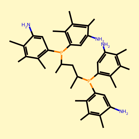 Cc1c(N)cc(P(c2cc(N)c(C)c(C)c2C)C(C)CC(C)P(c2cc(N)c(C)c(C)c2C)c2cc(N)c(C)c(C)c2C)c(C)c1C